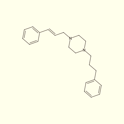 C(=C\c1ccccc1)/CN1CCN(CCCc2ccccc2)CC1